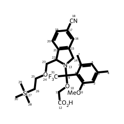 COc1cc(C)cc(C)c1C(OCC(=O)O)(N1Cc2cc(C#N)ccc2C1COCC[Si](C)(C)C)C(F)(F)F